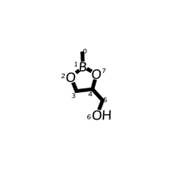 CB1OCC(CO)O1